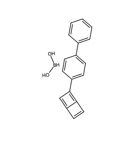 OBO.c1ccc(-c2ccc(-c3cc4ccc3-4)cc2)cc1